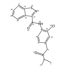 CC(C)C(=O)Cc1ccc(NC(=O)c2nsc3ccccc23)c(Cl)c1